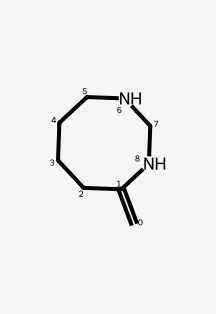 C=C1CCCCNCN1